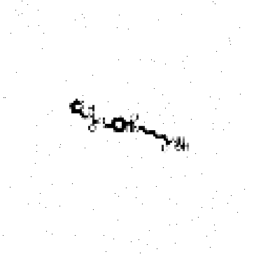 O=C(CCCCCNC(=O)c1ccc(COC(=O)NCc2cccs2)cc1)NO